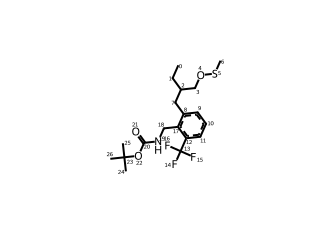 CCC(COSC)Cc1cccc(C(F)(F)F)c1CNC(=O)OC(C)(C)C